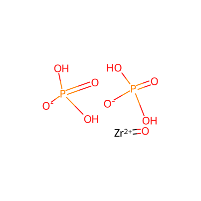 O=P([O-])(O)O.O=P([O-])(O)O.[O]=[Zr+2]